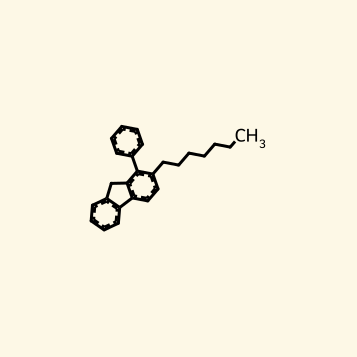 CCCCCCCc1ccc2c(c1-c1ccccc1)Cc1ccccc1-2